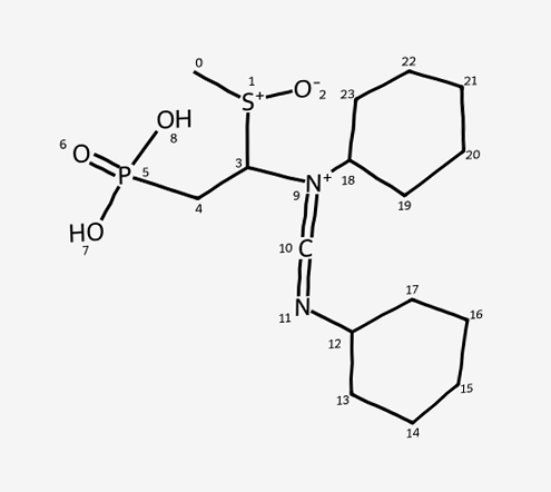 C[S+]([O-])C(CP(=O)(O)O)[N+](=C=NC1CCCCC1)C1CCCCC1